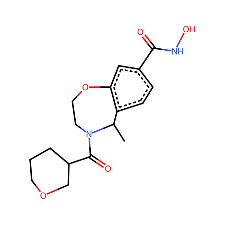 CC1c2ccc(C(=O)NO)cc2OCCN1C(=O)C1CCCOC1